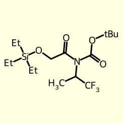 CC[Si](CC)(CC)OCC(=O)N(C(=O)OC(C)(C)C)C(C)C(F)(F)F